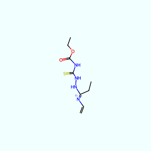 C=C/N=C(\CC)NNC(=S)NC(=O)OCC